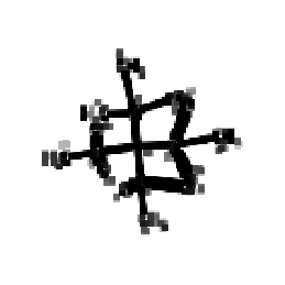 CCC[Si](C)(C)C(S(C)(=O)=O)(S(C)(=O)=O)S(C)(=O)=O